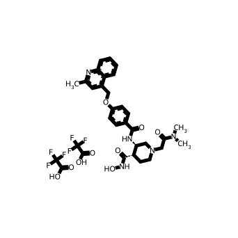 Cc1cc(COc2ccc(C(=O)N[C@@H]3CN(CC(=O)N(C)C)CC[C@@H]3C(=O)NO)cc2)c2ccccc2n1.O=C(O)C(F)(F)F.O=C(O)C(F)(F)F